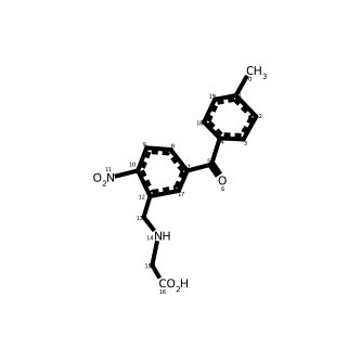 Cc1ccc(C(=O)c2ccc([N+](=O)[O-])c(CNCC(=O)O)c2)cc1